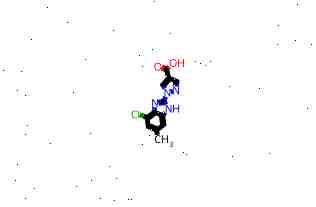 Cc1cc(Cl)c2nc(-n3cc(C(=O)O)cn3)[nH]c2c1